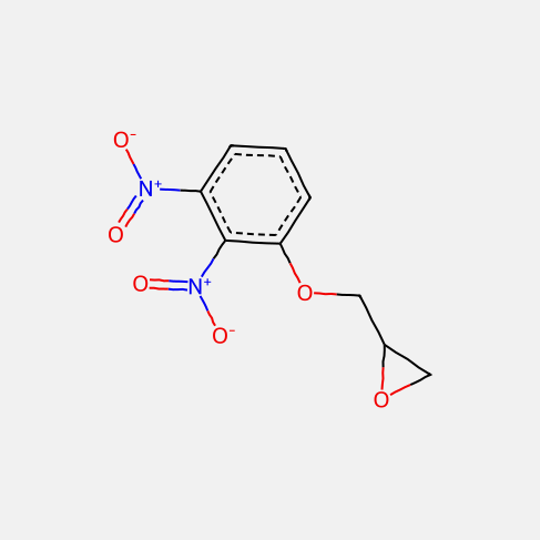 O=[N+]([O-])c1cccc(OCC2CO2)c1[N+](=O)[O-]